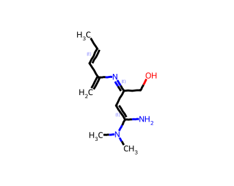 C=C(/C=C/C)/N=C(\C=C(/N)N(C)C)CO